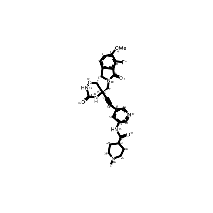 COc1ccc2c(c1F)C(=O)N(C[C@]1(C#Cc3cncc(NC(=O)C4CCN(C)CC4)c3)CONC(=O)N1)C2